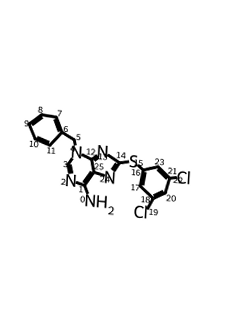 Nc1ncn(Cc2ccccc2)c2nc(Sc3cc(Cl)cc(Cl)c3)nc1-2